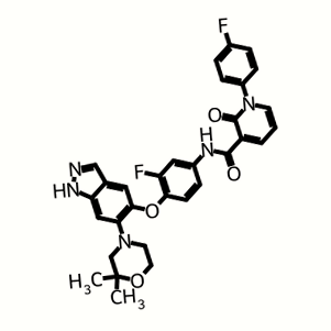 CC1(C)CN(c2cc3[nH]ncc3cc2Oc2ccc(NC(=O)c3cccn(-c4ccc(F)cc4)c3=O)cc2F)CCO1